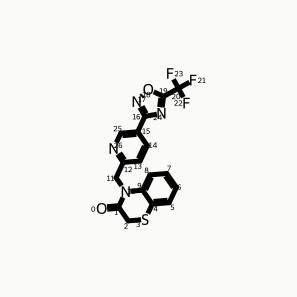 O=C1CSc2ccccc2N1Cc1ccc(-c2noc(C(F)(F)F)n2)cn1